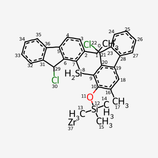 CCc1ccc2c(c1[SiH2]c1c(O[Si](C)(C)C)c(C)cc3c1C(Cl)c1ccccc1-3)C(Cl)c1ccccc1-2.[Zr]